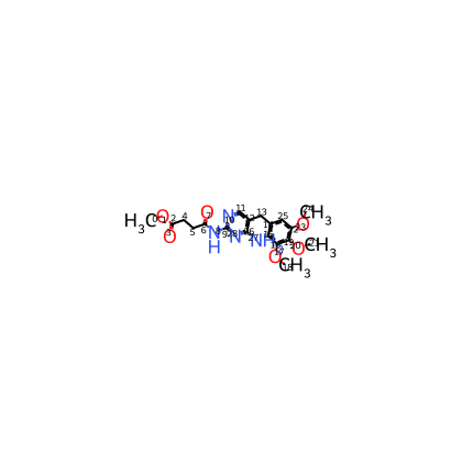 COC(=O)CCC(=O)Nc1ncc(Cc2cc(OC)c(OC)c(OC)c2)c(N)n1